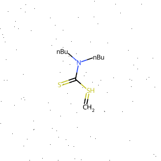 C=[SH]C(=S)N(CCCC)CCCC